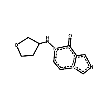 O=c1c2cncn2ccn1NC1CCOC1